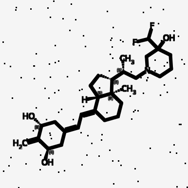 C=C1[C@H](O)CC(=CC=C2CCC[C@]3(C)[C@@H]([C@H](C)CN4CCCC(O)(C(F)F)C4)CC[C@@H]23)C[C@H]1O